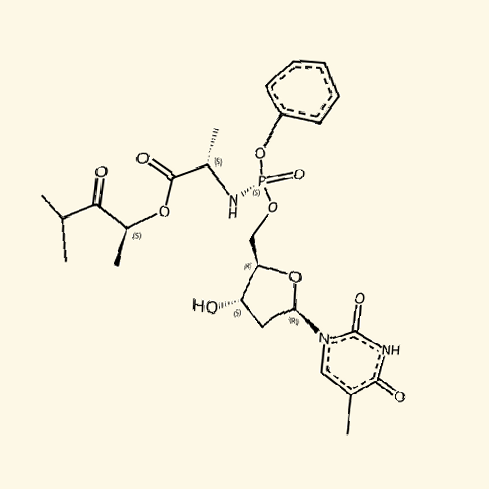 Cc1cn([C@H]2C[C@H](O)[C@@H](CO[P@@](=O)(N[C@@H](C)C(=O)O[C@@H](C)C(=O)C(C)C)Oc3ccccc3)O2)c(=O)[nH]c1=O